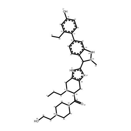 CCCN1Cc2[nH]c(C3c4ccc(-c5ccc(O)cc5CC)cc4NN3C)nc2C[C@H]1C(=O)N1CCN(CCO)CC1